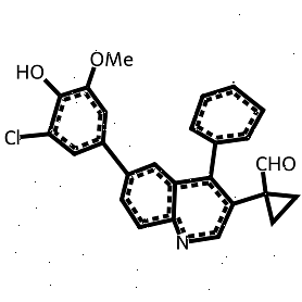 COc1cc(-c2ccc3ncc(C4(C=O)CC4)c(-c4cc[c]cc4)c3c2)cc(Cl)c1O